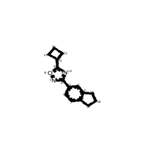 c1cc2c(cc1-c1noc(C3CCC3)n1)CCC2